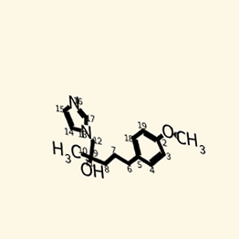 COc1ccc(CCCC(C)(O)Cn2ccnc2)cc1